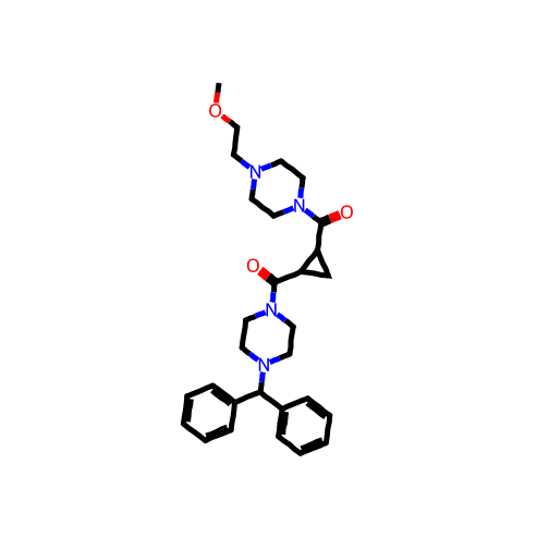 COCCN1CCN(C(=O)C2CC2C(=O)N2CCN(C(c3ccccc3)c3ccccc3)CC2)CC1